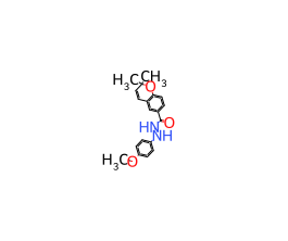 COc1ccc(NNC(=O)c2ccc3c(c2)C=CC(C)(C)O3)cc1